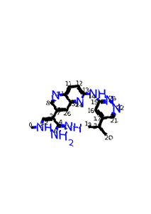 CN/C=C(\C(=N)N)c1cnc2ccc(Nc3cc(C(C)C)cnn3)nc2c1